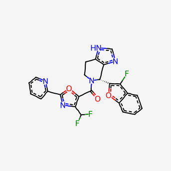 O=C(c1oc(-c2ccccn2)nc1C(F)F)N1CCc2[nH]cnc2[C@@H]1c1oc2ccccc2c1F